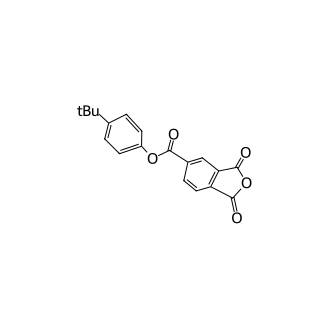 CC(C)(C)c1ccc(OC(=O)c2ccc3c(c2)C(=O)OC3=O)cc1